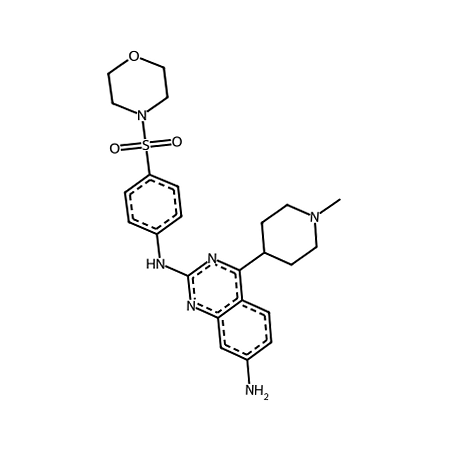 CN1CCC(c2nc(Nc3ccc(S(=O)(=O)N4CCOCC4)cc3)nc3cc(N)ccc23)CC1